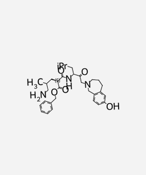 CC(C)CC(NC(=O)[C@H](CC(C)CN)C(=O)OCc1ccccc1)C(=O)CN1CCCc2cc(O)ccc2C1